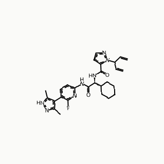 C=CC(C=C)n1nccc1C(=O)N[C@H](C(=O)Nc1ccc(-c2c(C)n[nH]c2C)c(F)n1)C1CCCCC1